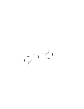 O=C(Cc1cccc(Cl)c1)Nc1cc(Cl)ccc1C(=O)O